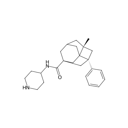 C[C@]12CC3CC4(C(=O)NC5CCNCC5)CC1(C3)[C@](c1ccccc1)(C4)C2